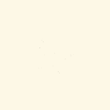 Cl.Cl.FC1(F)CCNCC1c1ccncc1